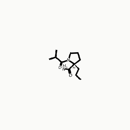 CCC[C@]1(C(N)=O)CCCN1C(=O)C(C)C